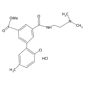 COC(=O)c1cc(C(=O)NCCN(C)C)cc(-c2cc(C)ccc2Cl)c1.Cl